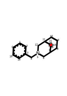 c1ccc(CN2CC3CCCC(C2)C32OCCO2)cc1